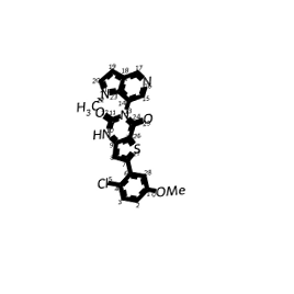 COc1ccc(Cl)c(-c2cc3[nH]c(=O)n(-c4cncc5ccn(C)c45)c(=O)c3s2)c1